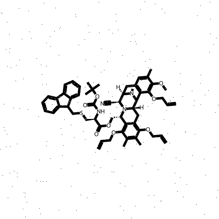 C=CCOc1c(C)c(C)c(OCC=C)c2c1C[C@H]1C3c4c(cc(C)c(OC)c4OCC=C)C[C@H]([C@H](C#N)N1[C@H]2COC(=O)[C@@H](CSCC1c2ccccc2-c2ccccc21)NC(=O)OC(C)(C)C)N3C